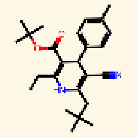 CCC1=C(C(=O)OC(C)(C)C)C(c2ccc(C)cc2)C(C#N)=C(CC(C)(C)C)N1